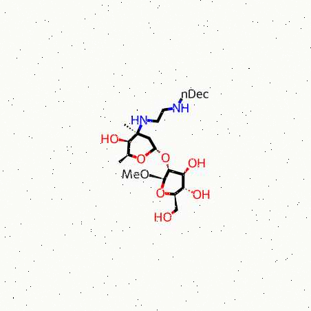 CCCCCCCCCCNCCN[C@@]1(C)C[C@H](O[C@H]2[C@H](OC)O[C@H](CO)[C@@H](O)[C@@H]2O)O[C@@H](C)[C@H]1O